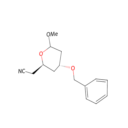 COC1C[C@H](OCc2ccccc2)C[C@@H](CC#N)O1